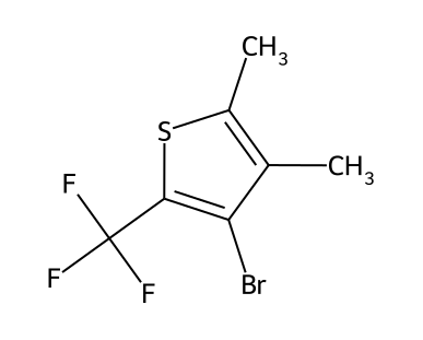 Cc1sc(C(F)(F)F)c(Br)c1C